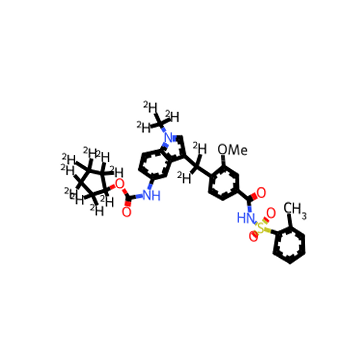 [2H]C([2H])(c1ccc(C(=O)NS(=O)(=O)c2ccccc2C)cc1OC)c1cn(C([2H])([2H])[2H])c2ccc(NC(=O)OC3([2H])C([2H])([2H])C([2H])([2H])C([2H])([2H])C3([2H])[2H])cc12